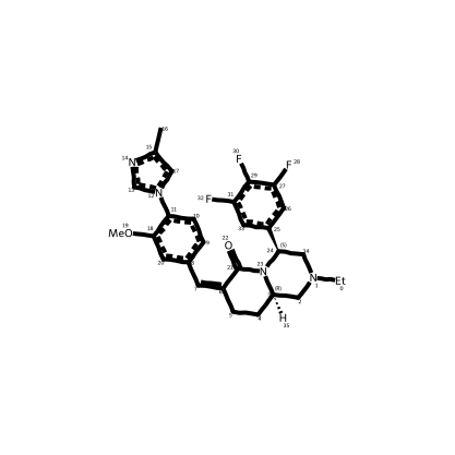 CCN1C[C@H]2CCC(=Cc3ccc(-n4cnc(C)c4)c(OC)c3)C(=O)N2[C@@H](c2cc(F)c(F)c(F)c2)C1